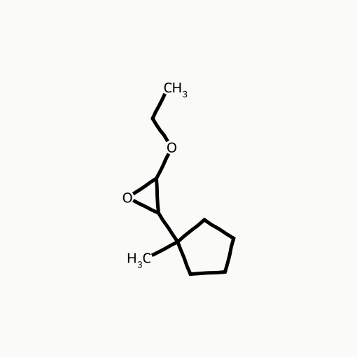 CCOC1OC1C1(C)CCCC1